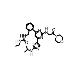 CCNC(=O)NCc1ccccc1-c1cc(-c2cnc(NC(C)C)s2)nc(NCC(=O)N2CCOCC2)n1